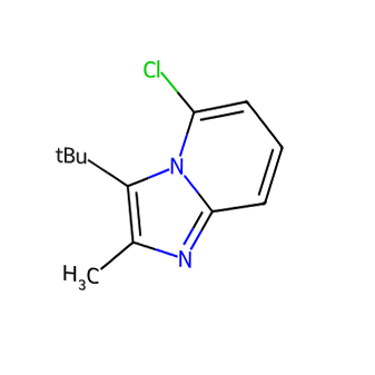 Cc1nc2cccc(Cl)n2c1C(C)(C)C